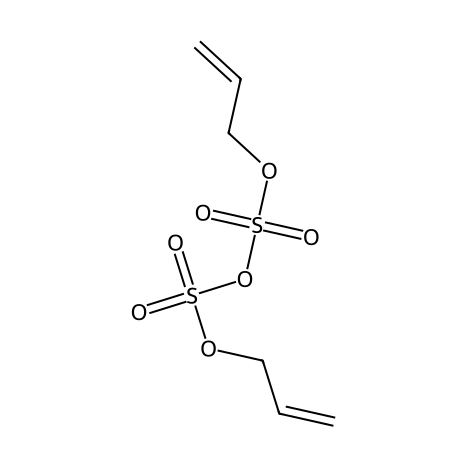 C=CCOS(=O)(=O)OS(=O)(=O)OCC=C